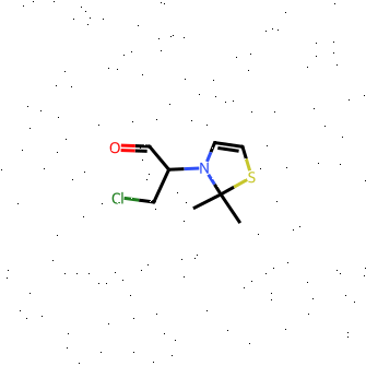 CC1(C)SC=CN1C(C=O)CCl